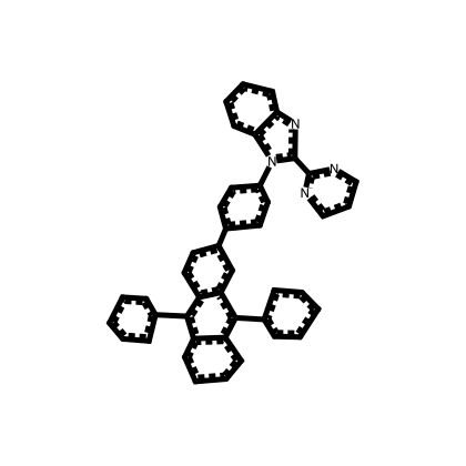 c1ccc(-c2c3ccccc3c(-c3ccccc3)c3cc(-c4ccc(-n5c(-c6ncccn6)nc6ccccc65)cc4)ccc23)cc1